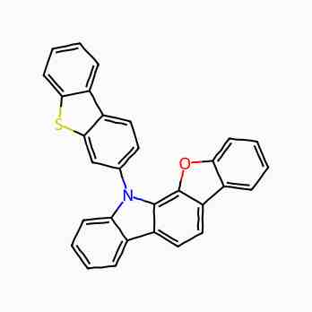 c1ccc2c(c1)oc1c2ccc2c3ccccc3n(-c3ccc4c(c3)sc3ccccc34)c21